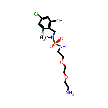 Cc1cc(Cl)cc(Cl)c1CN(C)S(=O)(=O)NCCOCCOCCN